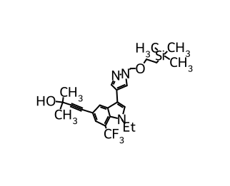 CCn1cc(-c2cnn(COCC[Si](C)(C)C)c2)c2cc(C#CC(C)(C)O)cc(C(F)(F)F)c21